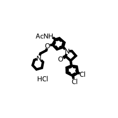 CC(=O)Nc1ccc(N2CCC(c3ccc(Cl)c(Cl)c3)C2=O)cc1OCCN1CCCCC1.Cl